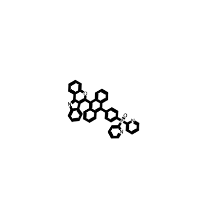 O=P(c1ccc(-c2c3ccccc3c(-c3oc4ccccc4c4nc5ccccc5c3-4)c3ccccc23)cc1)(c1ccccn1)c1ccccn1